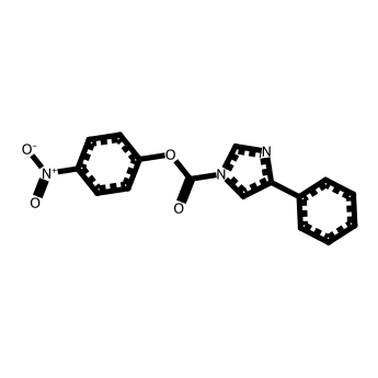 O=C(Oc1ccc([N+](=O)[O-])cc1)n1cnc(-c2ccccc2)c1